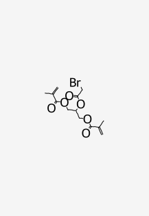 C=C(C)C(=O)OCC(COC(=O)C(=C)C)OC(=O)CBr